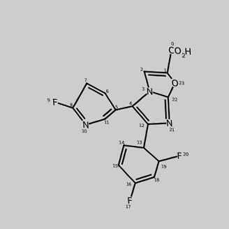 O=C(O)c1cn2c(-c3ccc(F)nc3)c(C3C=CC(F)=CC3F)nc2o1